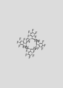 FC1=C(F)[C@@H](F)[C@@H](F)C(c2c3nc(c(-c4c(F)c(F)c(F)c(F)c4F)c4ccc([nH]4)c(C4=C(F)C(F)=C(F)[C@@H](F)[C@H]4F)c4nc(c(-c5c(F)c(F)c(F)c(F)c5F)c5ccc2[nH]5)C=C4)C=C3)=C1F